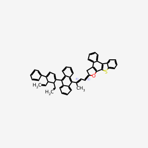 C=CC1C(c2ccccc2)=CC=C(c2c3ccccc3c(/C(C)=C/C=C3\Cc4c(c5sc6ccccc6c5c5ccccc45)O3)c3ccccc23)C1C=C